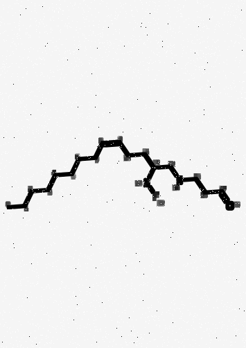 CCCCCCCC/C=C\CCC(CSCCC=O)SF